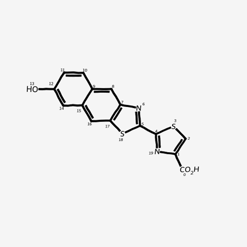 O=C(O)c1csc(-c2nc3cc4ccc(O)cc4cc3s2)n1